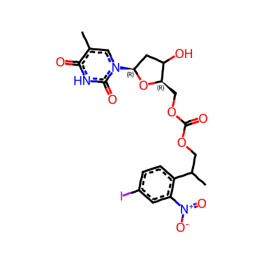 Cc1cn([C@H]2CC(O)[C@@H](COC(=O)OCC(C)c3ccc(I)cc3[N+](=O)[O-])O2)c(=O)[nH]c1=O